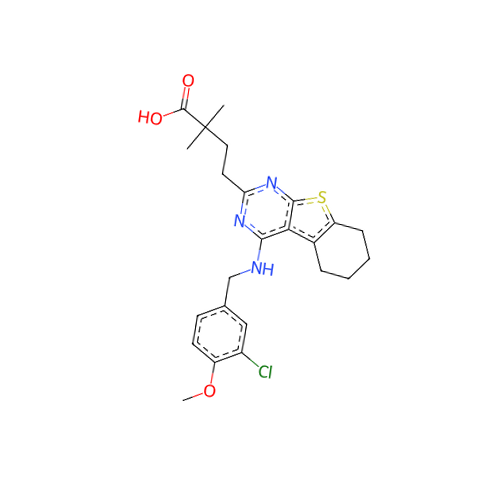 COc1ccc(CNc2nc(CCC(C)(C)C(=O)O)nc3sc4c(c23)CCCC4)cc1Cl